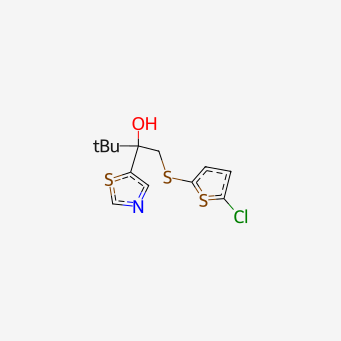 CC(C)(C)C(O)(CSc1ccc(Cl)s1)c1cncs1